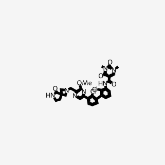 COc1nc(-c2cccc(-c3cccc(NC(=O)c4cn(C)c(=O)n(C)c4=O)c3Cl)c2Cl)cnc1CN1CC2(CCNC2=O)C1